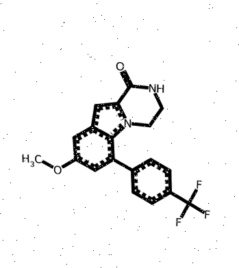 COc1cc(-c2ccc(C(F)(F)F)cc2)c2c(c1)cc1n2CCNC1=O